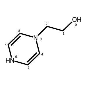 OCCN1C=CNC=C1